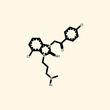 CC(=O)N(C)CCCn1c(=N)n(CC(=O)c2ccc(Cl)cc2)c2cccc(Cl)c21